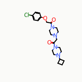 O=C(COc1ccc(Cl)cc1)N1CCN(CC(=O)N2CCN(C3CCC3)CC2)CC1